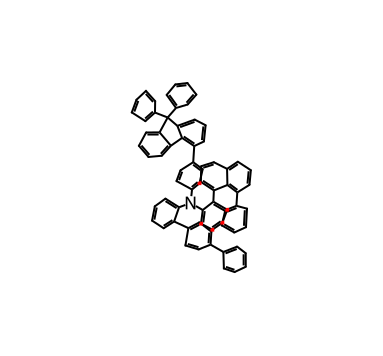 c1ccc(-c2ccc(-c3ccccc3N(c3ccc(-c4cccc5c4-c4ccccc4C5(c4ccccc4)c4ccccc4)cc3)c3ccccc3-c3cccc4cccc(-c5ccccc5)c34)cc2)cc1